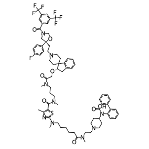 Cc1nc(N(C)CCCCCC(=O)N(C)CCN2CCC(N(C(=O)O)c3ccccc3-c3ccccc3)CC2)sc1C(=O)N(C)CCCN(C)C(=O)CO[C@H]1Cc2ccccc2C12CCN(CC[C@@]1(c3ccc(F)cc3)CN(C(=O)c3cc(C(F)(F)F)cc(C(F)(F)F)c3)CO1)CC2